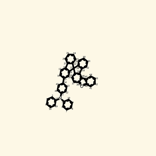 c1ccc(N(c2ccccc2)c2ccc(-c3ccc4c(c3)C3(c5ccccc5-4)c4ccccc4-c4c3ccc3oc5ccccc5c43)cc2)cc1